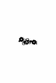 Cc1cccc(OC(=O)N(C)S(=O)OCc2ccncc2)c1